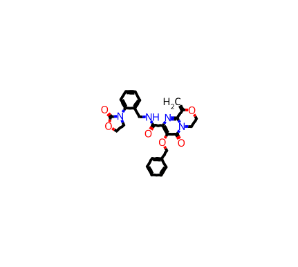 C=C1OCCn2c1nc(C(=O)NCc1ccccc1N1CCOC1=O)c(OCc1ccccc1)c2=O